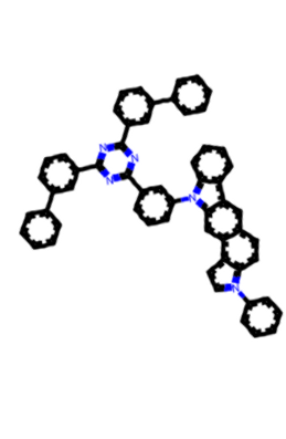 c1ccc(-c2cccc(-c3nc(-c4cccc(-c5ccccc5)c4)nc(-c4cccc(-n5c6ccccc6c6cc7ccc8c(ccn8-c8ccccc8)c7cc65)c4)n3)c2)cc1